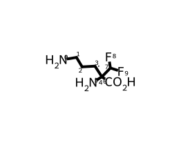 NCC[CH]C(N)(C(=O)O)C(F)F